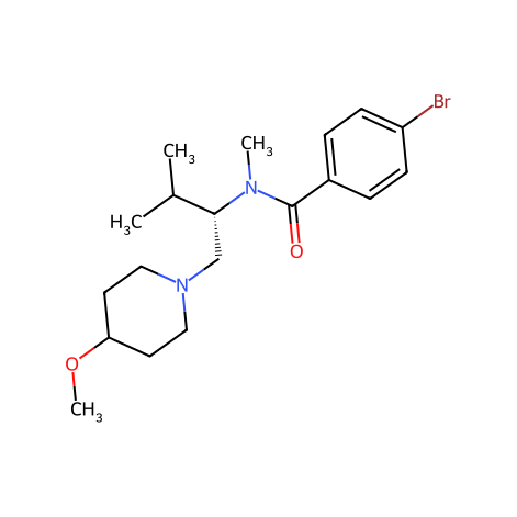 COC1CCN(C[C@H](C(C)C)N(C)C(=O)c2ccc(Br)cc2)CC1